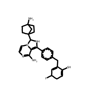 NC1=NC=CN2C1=C(c1ccc(CC3=CC(F)CC=C3S)cc1)NC2C12CCC(N)(CC1)C2